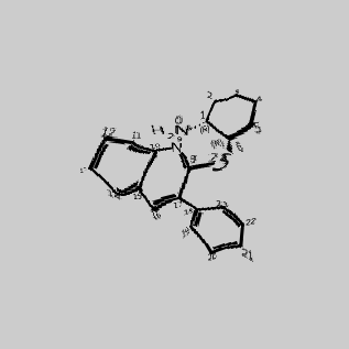 N[C@@H]1CCCC[C@H]1Sc1nc2ccccc2cc1-c1ccccc1